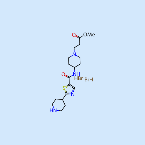 Br.Br.COC(=O)CCN1CCC(NC(=O)c2cnc(C3CCNCC3)s2)CC1